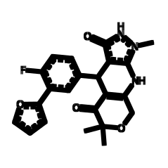 Cn1[nH]c(=O)c2c1NC1=C(C(=O)C(C)(C)OC1)C2c1ccc(F)c(-c2ccco2)c1